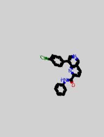 O=C(Nc1ccccc1)c1ccc2cncc(-c3ccc(Cl)cc3)c2n1